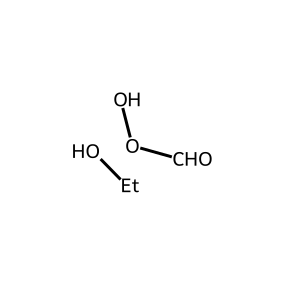 CCO.O=COO